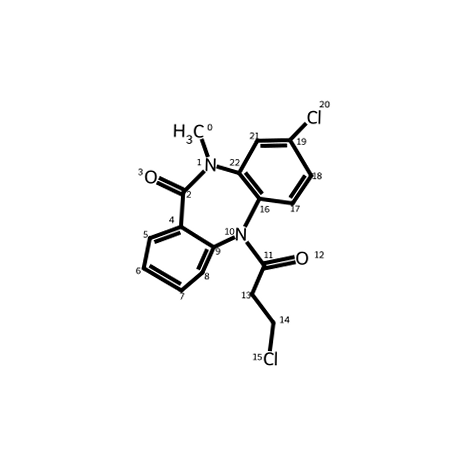 CN1C(=O)c2ccccc2N(C(=O)CCCl)c2ccc(Cl)cc21